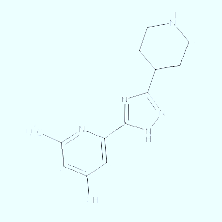 Cc1cc(C)nc(-c2nc(C3CCNCC3)n[nH]2)c1